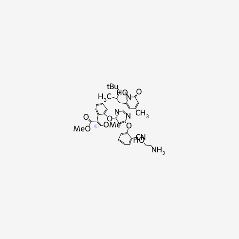 CO/C=C(/C(=O)OC)c1ccccc1Oc1cc(Oc2ccccc2C#N)ncn1.Cc1cc(CC(C)CC(C)(C)C)n(O)c(=O)c1.NCCO